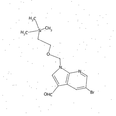 C[Si](C)(C)CCOCn1cc(C=O)c2cc(Br)cnc21